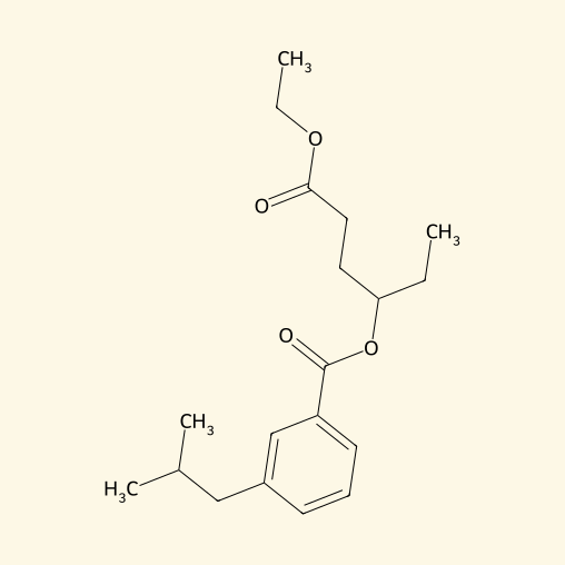 CCOC(=O)CCC(CC)OC(=O)c1cccc(CC(C)C)c1